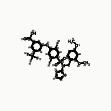 COc1ccc(CN(c2ncns2)S(=O)(=O)c2cc(F)c(Oc3cc(C(=O)O)cc(C(F)(F)F)c3)cc2F)c(OC)c1